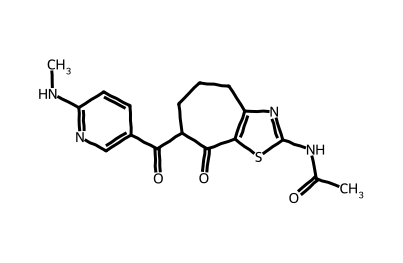 CNc1ccc(C(=O)C2CCCc3nc(NC(C)=O)sc3C2=O)cn1